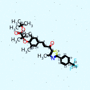 Cc1cc(/C=C/C(=O)c2sc(-c3ccc(C(F)(F)F)cc3)nc2C)cc(C)c1OC(C)(C)C(=O)OC(C)(C)C